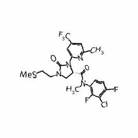 CSCCN1C[C@@H](C(=O)N(C)c2ccc(F)c(Cl)c2F)N(c2cc(C(F)(F)F)cc(C)n2)C1=O